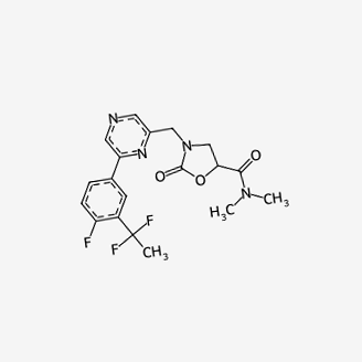 CN(C)C(=O)C1CN(Cc2cncc(-c3ccc(F)c(C(C)(F)F)c3)n2)C(=O)O1